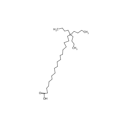 CCCC[N+](CCCC)(CCCC)CCCCCCCCCCCCCCCCCCC(=O)O